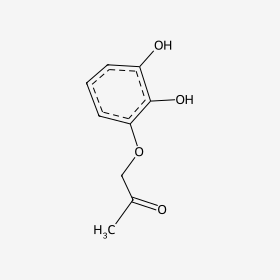 CC(=O)COc1cccc(O)c1O